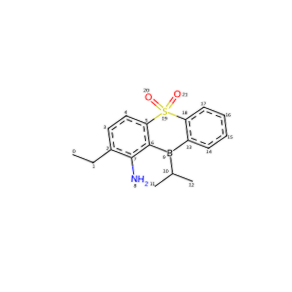 CCc1ccc2c(c1N)B(C(C)C)c1ccccc1S2(=O)=O